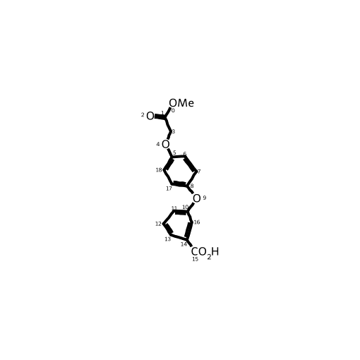 COC(=O)COc1ccc(Oc2cccc(C(=O)O)c2)cc1